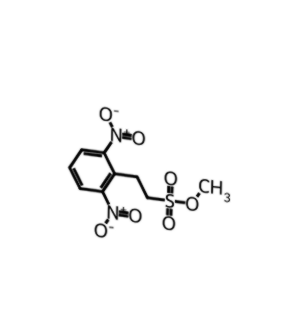 COS(=O)(=O)CCc1c([N+](=O)[O-])cccc1[N+](=O)[O-]